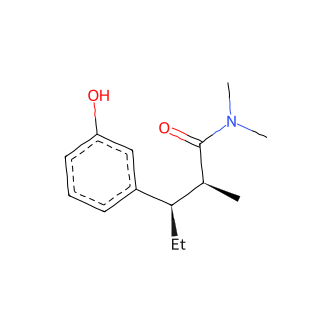 CC[C@@H](c1cccc(O)c1)[C@H](C)C(=O)N(C)C